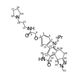 CC(C)Cn1c2ccc(OCC(=O)NCCCN3CCCC3)cc2c2c3c(c4c(c21)CCc1nn(C)cc1-4)C(=O)NC3